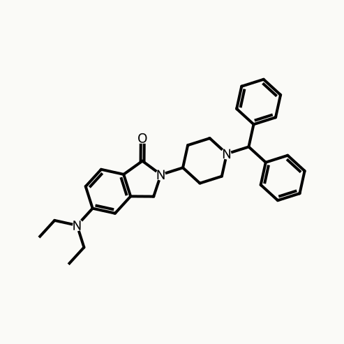 CCN(CC)c1ccc2c(c1)CN(C1CCN(C(c3ccccc3)c3ccccc3)CC1)C2=O